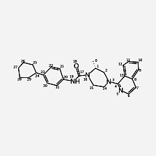 C[C@@H]1CN(c2nccc3ccccc23)CCN1C(=O)Nc1ccc(C2CCCCC2)cc1